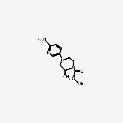 CC1CN(c2ccc([N+](=O)[O-])nc2)CCN1C(=O)OC(C)(C)C